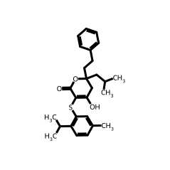 Cc1ccc(C(C)C)c(SC2=C(O)CC(CCc3ccccc3)(CC(C)C)OC2=O)c1